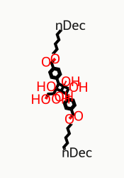 CCCCCCCCCCCCCCCCOC(=O)c1ccc(C2C(O)[C@@]3(O)C(c4ccc(C(=O)OCCCCCCCCCCCCCCCC)cc4)[C@@](O)([C@H](O)CO)[C@@]23O)cc1